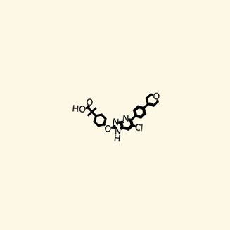 CC(C)(C(=O)O)C1CCC(Oc2nc3nc(-c4ccc(C5=CCOCC5)cc4)c(Cl)cc3[nH]2)CC1